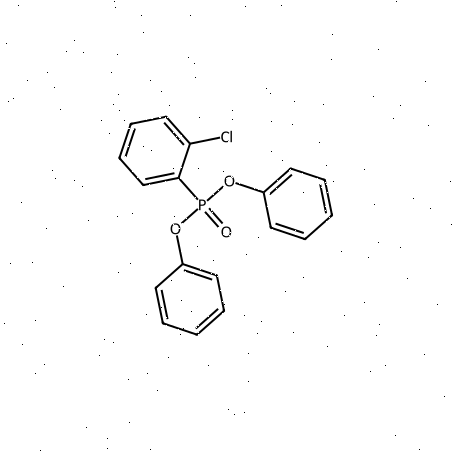 O=P(Oc1ccccc1)(Oc1ccccc1)c1ccccc1Cl